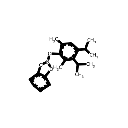 Cc1cc(C(C)C)c(C(C)C)c(C)c1OB1Oc2ccccc2O1